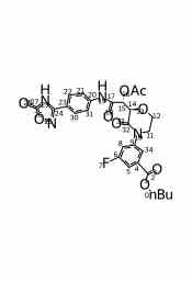 CCCCOC(=O)c1cc(F)cc(N2CCO[C@H]([C@@H](OC(C)=O)C(=O)Nc3ccc(-c4noc(=O)[nH]4)cc3)C2=O)c1